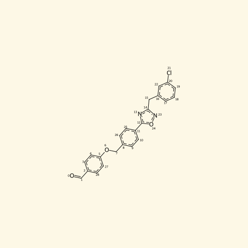 O=Cc1ccc(OCc2ccc(-c3nc(Cc4cccc(Cl)c4)no3)cc2)cc1